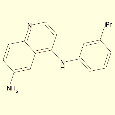 CC(C)c1cccc(Nc2ccnc3ccc(N)cc23)c1